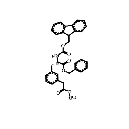 CC(C)(C)OC(=O)Cc1cccc(C[C@H](NC(=O)OCC2c3ccccc3-c3ccccc32)C(=O)OCc2ccccc2)c1